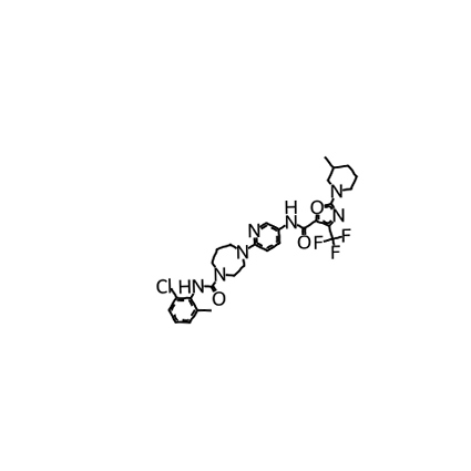 Cc1cccc(Cl)c1NC(=O)N1CCCN(c2ccc(NC(=O)c3oc(N4CCCC(C)C4)nc3C(F)(F)F)cn2)CC1